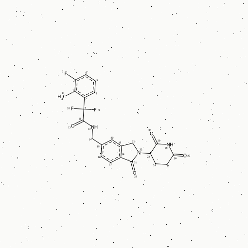 Cc1c(F)cccc1C(F)(F)C(=O)NCc1ccc2c(c1)CN(C1CCC(=O)NC1=O)C2=O